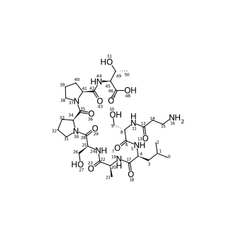 CC(C)C[C@H](NC(=O)[C@H](CO)NC(=O)CCN)C(=O)N[C@@H](C)C(=O)N[C@@H](CO)C(=O)N1CCC[C@H]1C(=O)N1CCC[C@H]1C(=O)N[C@H](C(=O)O)[C@@H](C)O